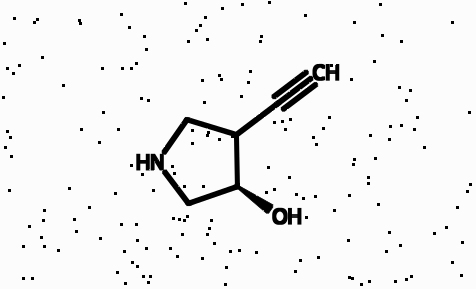 C#CC1CNC[C@@H]1O